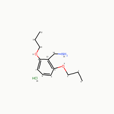 CCCOc1cccc(OCCC)c1CN.Cl